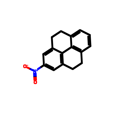 O=[N+]([O-])c1cc2c3c(c1)CCc1cccc(c1-3)CC2